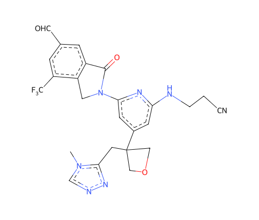 Cn1cnnc1CC1(c2cc(NCCC#N)nc(N3Cc4c(cc(C=O)cc4C(F)(F)F)C3=O)c2)COC1